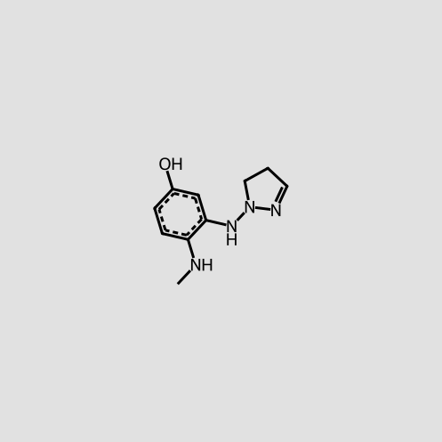 CNc1ccc(O)cc1NN1CCC=N1